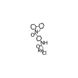 O=C([CH2][Re][Cl])Nc1ccc(C(=O)N2Cc3ccccc3-c3ccccc32)cc1